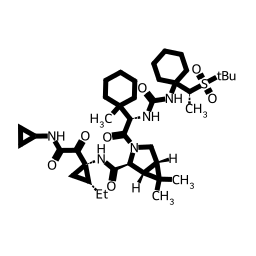 CC[C@@H]1C[C@@]1(NC(=O)[C@@H]1[C@@H]2[C@H](CN1C(=O)[C@@H](NC(=O)NC1([C@@H](C)S(=O)(=O)C(C)(C)C)CCCCC1)C1(C)CCCCC1)C2(C)C)C(=O)C(=O)NC1CC1